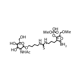 B[C@@H]1O[C@H](COC)[C@H](OP(=O)(O)OC)C1CCCNC(=S)NCCCCO[C@@H]1O[C@H](CO)[C@H](O)[C@H](O)[C@H]1NC(C)=O